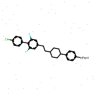 CCCCCc1ccc(C2CCC(CCc3cc(F)c(-c4ccc(Cl)cc4)c(F)c3)CC2)cc1